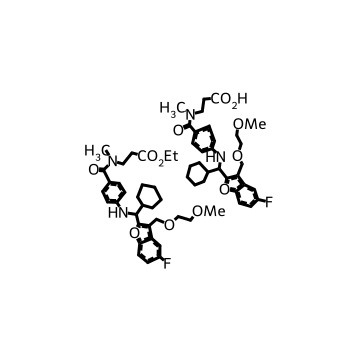 CCOC(=O)CCN(C)C(=O)c1ccc(NC(c2oc3ccc(F)cc3c2COCCOC)C2CCCCC2)cc1.COCCOCc1c(C(Nc2ccc(C(=O)N(C)CCC(=O)O)cc2)C2CCCCC2)oc2ccc(F)cc12